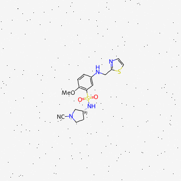 COc1ccc(NCc2nccs2)cc1S(=O)(=O)N[C@@H]1CCN(C#N)C1